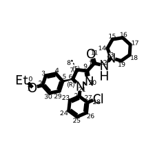 CCOc1ccc([C@H]2[C@H](C)C(C(=O)NN3CCCCCC3)=NN2c2ccccc2Cl)cc1